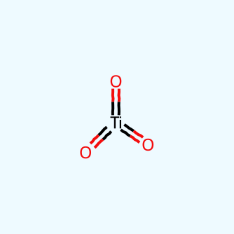 [O]=[Ti](=[O])=[O]